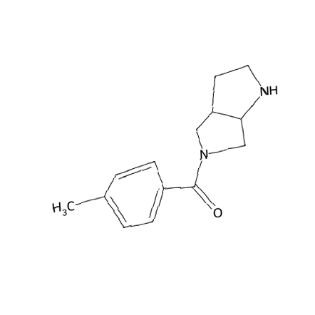 Cc1ccc(C(=O)N2CC3CCNC3C2)cc1